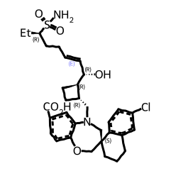 CC[C@H](CC/C=C/[C@H](O)[C@@H]1CC[C@H]1CN1C[C@@]2(CCCc3cc(Cl)ccc32)COc2ccc(C(=O)O)cc21)S(N)(=O)=O